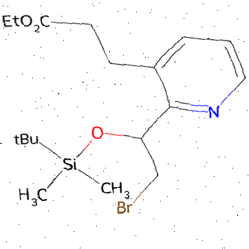 CCOC(=O)CCc1cccnc1C(CBr)O[Si](C)(C)C(C)(C)C